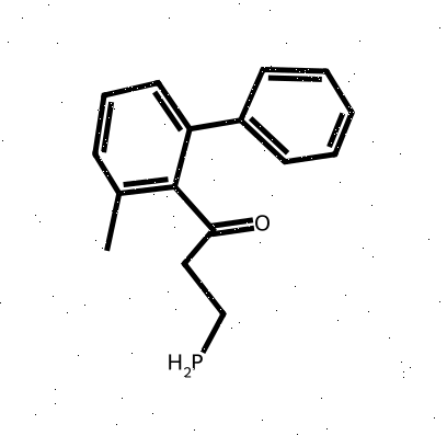 Cc1cccc(-c2ccccc2)c1C(=O)CCP